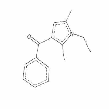 CCn1c(C)cc(C(=O)c2ccccc2)c1C